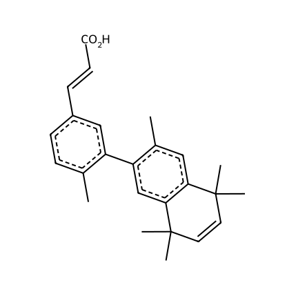 Cc1ccc(C=CC(=O)O)cc1-c1cc2c(cc1C)C(C)(C)C=CC2(C)C